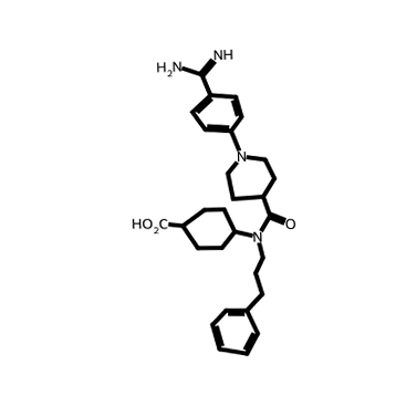 N=C(N)c1ccc(N2CCC(C(=O)N(CCCc3ccccc3)C3CCC(C(=O)O)CC3)CC2)cc1